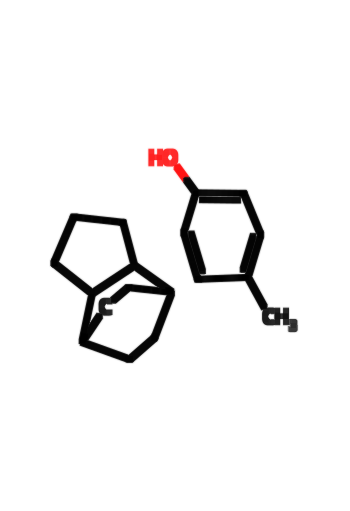 C1CC2C3CCC(CC3)C2C1.Cc1ccc(O)cc1